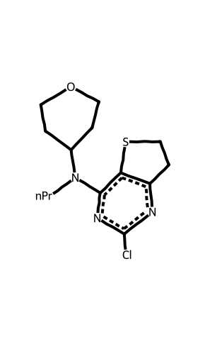 CCCN(c1nc(Cl)nc2c1SCC2)C1CCOCC1